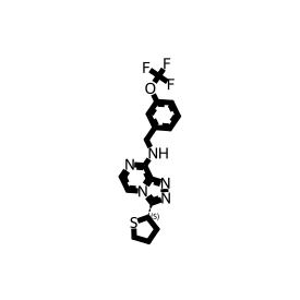 FC(F)(F)Oc1cccc(CNc2nccn3c([C@@H]4CCCS4)nnc23)c1